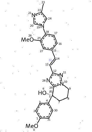 COc1ccc([C@]2(O)CCCn3nc(/C=C/c4ccc(-n5cnc(C)c5)c(OC)c4)nc32)cc1